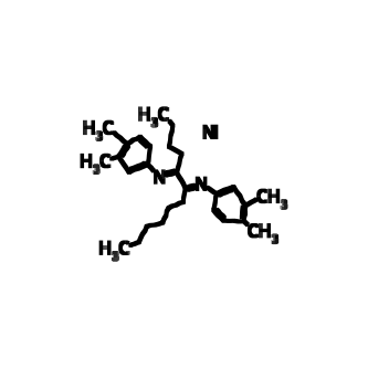 CCCCCCC(=N\c1ccc(C)c(C)c1)/C(CCCC)=N/c1ccc(C)c(C)c1.[Ni]